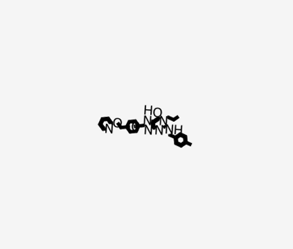 CCCn1c(NCc2ccc(C)cc2)nc2nc(C34CCC(COc5ccccn5)(CC3)CC4)[nH]c2c1=O